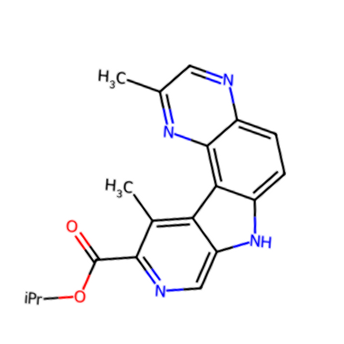 Cc1cnc2ccc3[nH]c4cnc(C(=O)OC(C)C)c(C)c4c3c2n1